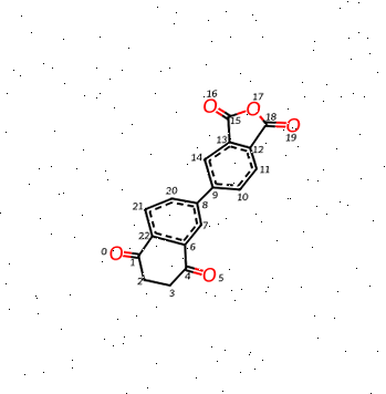 O=C1CCC(=O)c2cc(-c3ccc4c(c3)C(=O)OC4=O)ccc21